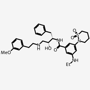 CCNc1cc(C(=O)N[C@@H](Cc2ccccc2)[C@H](O)CNCCc2cccc(OC)c2)cc(N2CCCCS2(=O)=O)c1